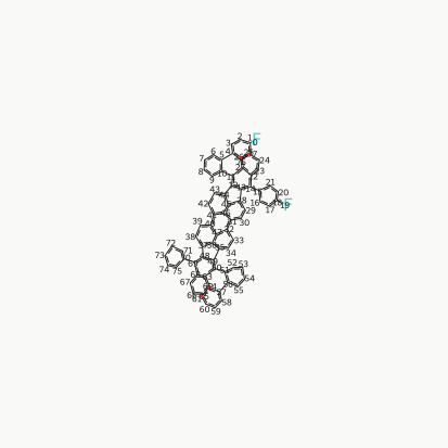 Fc1ccc(-c2ccccc2-c2c3c(c(-c4ccc(F)cc4)c4ccccc24)-c2ccc4c5ccc6c7c(ccc(c8ccc-3c2c48)c75)-c2c-6c(-c3ccccc3-c3ccccc3)c3ccccc3c2-c2ccccc2)cc1